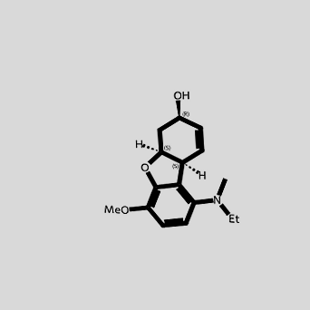 CCN(C)c1ccc(OC)c2c1[C@@H]1C=C[C@H](O)C[C@@H]1O2